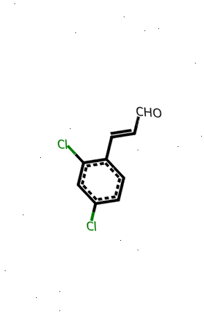 O=C/C=C/c1ccc(Cl)cc1Cl